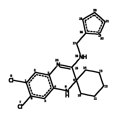 Clc1cc2c(cc1Cl)NC1(CCCCC1)C(NCc1cccs1)=N2